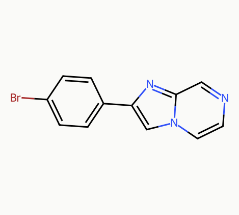 Brc1ccc(-c2cn3ccncc3n2)cc1